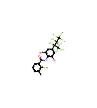 Cc1cccc(C(=O)Nc2c(Br)cc(C(F)(C(F)(F)F)C(F)(F)C(F)(F)F)cc2Br)c1F